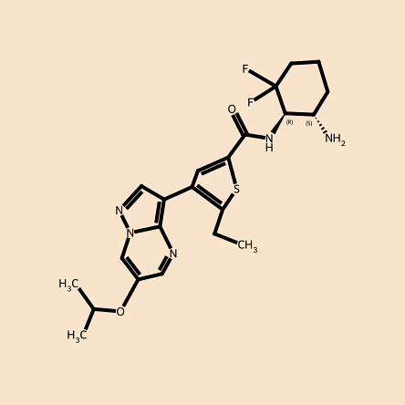 CCc1sc(C(=O)N[C@@H]2[C@@H](N)CCCC2(F)F)cc1-c1cnn2cc(OC(C)C)cnc12